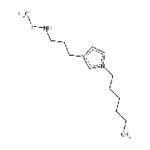 CCCCCCn1cc[n+](CCCNSC)c1